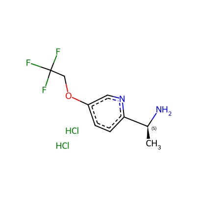 C[C@H](N)c1ccc(OCC(F)(F)F)cn1.Cl.Cl